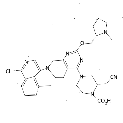 Cc1cccc2c(Cl)ncc(N3CCc4c(nc(OC[C@@H]5CCCN5C)nc4N4CCN(C(=O)O)[C@@H](CC#N)C4)C3)c12